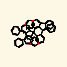 c1ccc(N(c2ccccc2)c2ccccc2C2(c3ccccc3N(c3ccccc3)c3ccccc3)c3ccccc3C3(c4ccccc4)c4ccccc4-c4cccc2c43)cc1